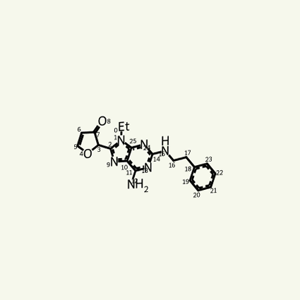 CCn1c(C2OC=CC2=O)nc2c(N)nc(NCCc3ccccc3)nc21